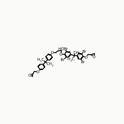 CC(C)(c1ccc(OCCC(O)Oc2c(Br)cc(C(C)(C)c3cc(Br)c(OCC4CO4)c(Br)c3)cc2Br)cc1)c1ccc(OCC2CO2)cc1